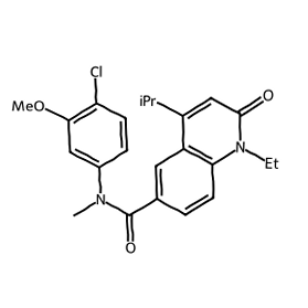 CCn1c(=O)cc(C(C)C)c2cc(C(=O)N(C)c3ccc(Cl)c(OC)c3)ccc21